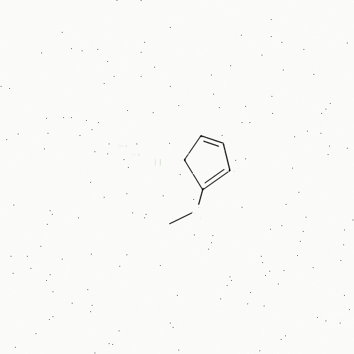 Cl.Cl.Cl.[CH3][Zr][C]1=CC=CC1